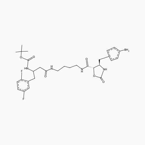 Bc1ccc(C[C@H]2NC(=O)O[C@@H]2C(=O)NCCCCNC(=O)CC(Cc2cc(F)ccc2F)NC(=O)OC(C)(C)C)cc1